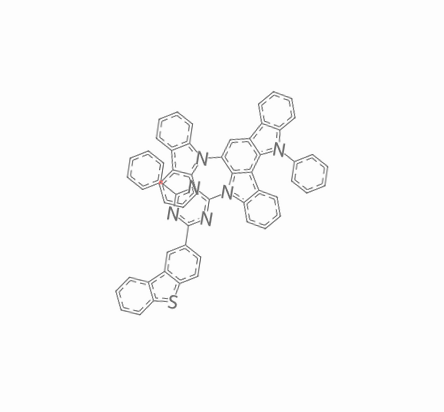 c1ccc(-c2nc(-c3ccc4sc5ccccc5c4c3)nc(-n3c4ccccc4c4c3c(-n3c5ccccc5c5ccccc53)cc3c5ccccc5n(-c5ccccc5)c34)n2)cc1